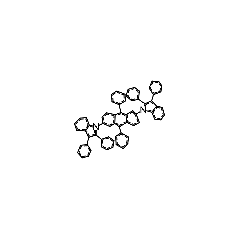 c1ccc(-c2c3ccc(-n4c(-c5ccccc5)c(-c5ccccc5)c5ccccc54)cc3c(-c3ccccc3)c3ccc(-n4c(-c5ccccc5)c(-c5ccccc5)c5ccccc54)cc23)cc1